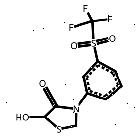 O=C1C(O)SCN1c1cccc(S(=O)(=O)C(F)(F)F)c1